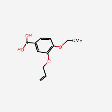 C=CCOc1cc(B(O)O)ccc1OCOC